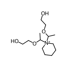 CC(OCCO)[N+]1(C(C)OCCO)CCCCC1